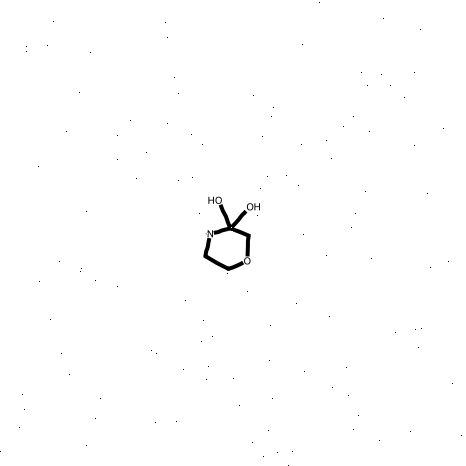 OC1(O)COCC[N]1